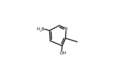 Bc1cnc(C)c(O)c1